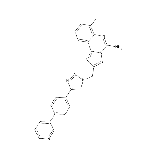 Nc1nc2c(F)cccc2c2nc(Cn3cc(-c4ccc(-c5cccnc5)cc4)nn3)cn12